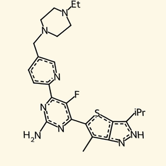 CCN1CCN(Cc2ccc(-c3nc(N)nc(-c4sc5c(C(C)C)[nH]nc5c4C)c3F)nc2)CC1